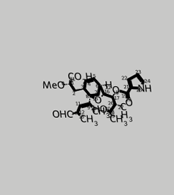 CO[C@@H](C[C@H]1C=C[C@@H]2C[C@@]1(/C(C)=C/[C@@H](C)C=O)O[C@H]2[C@H](OC(=O)c1ccc[nH]1)[C@H](C)[C@H](C)O)C(=O)O